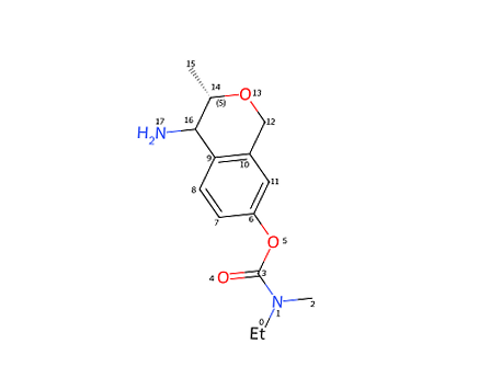 CCN(C)C(=O)Oc1ccc2c(c1)CO[C@@H](C)C2N